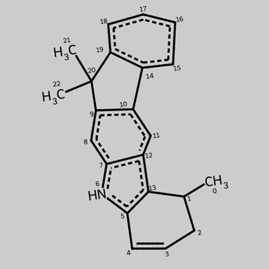 CC1CC=Cc2[nH]c3cc4c(cc3c21)-c1ccccc1C4(C)C